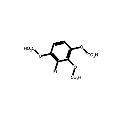 CCc1c(OC(=O)O)ccc(OC(=O)O)c1OC(=O)O